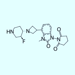 Cn1c(=O)n(N2C(=O)CCCC2=O)c2cccc(C3CN([C@H]4CCNC[C@@H]4F)C3)c21